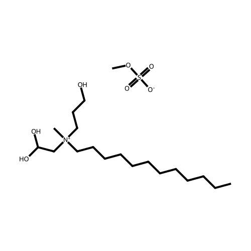 CCCCCCCCCCCC[N+](C)(CCCO)CC(O)O.COS(=O)(=O)[O-]